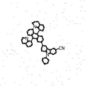 N#Cc1ccc2c(c1)c1cc(-c3ccc4c(-c5cccc6cccnc56)c5ccccc5c(-c5cccc6cccnc56)c4c3)ccc1n2-c1ccccc1